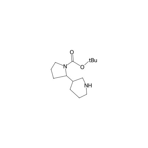 CC(C)(C)OC(=O)N1CCCC1C1CCCNC1